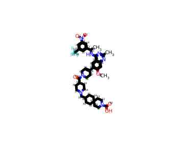 COc1cc2nc(C)nc(NC(C)c3cc([N+](=O)[O-])cc(C(F)(F)F)c3)c2cc1C1=CCN(C(=O)C2CCN(CC3CCC4(CC3)CCN(C(=O)O)CC4)CC2)CC1